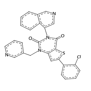 O=c1c2sc(-c3ccccc3Cl)cc2n(Cc2cccnc2)c(=O)n1-c1cncc2ccccc12